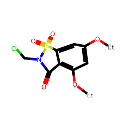 CCOc1cc(OCC)c2c(c1)S(=O)(=O)N(CCl)C2=O